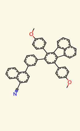 COc1ccc(-c2cc(-c3cccc(-c4ccc(C#N)c5ccccc45)c3)c(-c3ccc(OC)cc3)c3c2-c2cccc4cccc-3c24)cc1